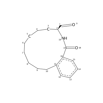 O=C[C@@H]1CCCCCCCCc2ccccc2C(=O)N1